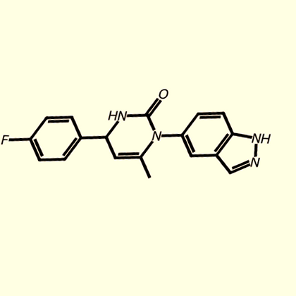 CC1=CC(c2ccc(F)cc2)NC(=O)N1c1ccc2[nH]ncc2c1